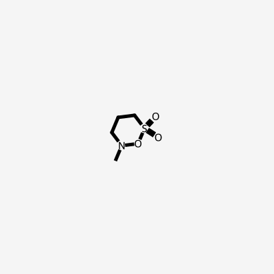 CN1CCCS(=O)(=O)O1